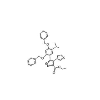 CCOC(=O)c1noc(-c2cc(C(C)C)c(OCc3ccccc3)cc2OCc2ccccc2)c1-c1ccsc1